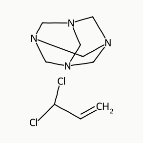 C1N2CN3CN1CN(C2)C3.C=CC(Cl)Cl